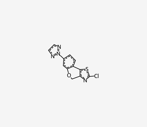 Clc1nc2c(s1)-c1ccc(-n3nccn3)cc1OC2